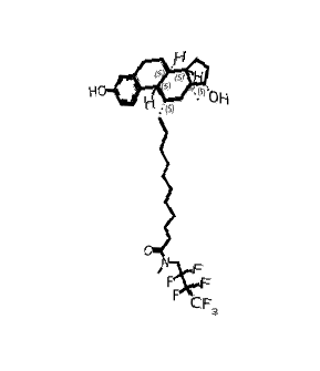 CN(CC(F)(F)C(F)(F)C(F)(F)F)C(=O)CCCCCCCCCC[C@H]1C[C@]2(C)[C@@H](O)CC[C@H]2[C@@H]2CCc3cc(O)ccc3[C@@H]12